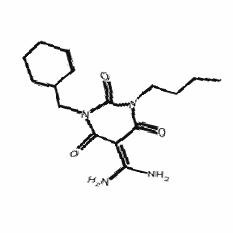 CCCCN1C(=O)C(=C(N)N)C(=O)N(CC2CCCCC2)C1=O